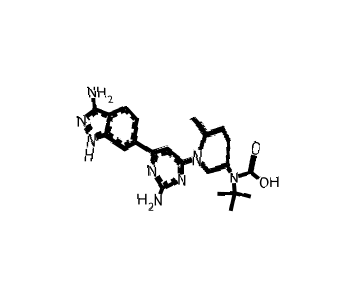 CC1CCC(N(C(=O)O)C(C)(C)C)CN1c1cc(-c2ccc3c(N)n[nH]c3c2)nc(N)n1